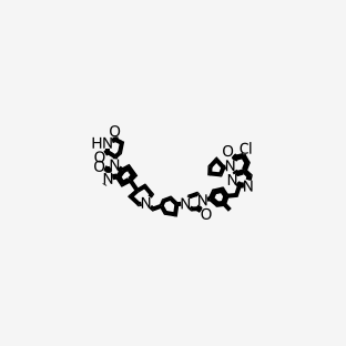 Cc1cc(N2CCN(C3CCC(CN4CCC(c5ccc6c(c5)n(C)c(=O)n6C5CCC(=O)NC5=O)CC4)CC3)CC2=O)ccc1Cc1ncc2cc(Cl)c(=O)n(C3CCCC3)c2n1